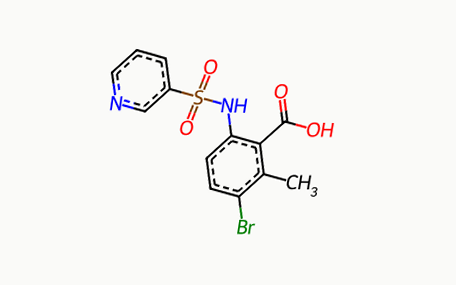 Cc1c(Br)ccc(NS(=O)(=O)c2cccnc2)c1C(=O)O